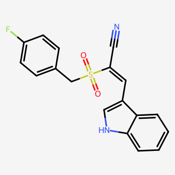 N#CC(=Cc1c[nH]c2ccccc12)S(=O)(=O)Cc1ccc(F)cc1